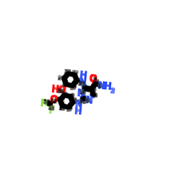 NC(=O)c1cnc(N[C@H]2CC[C@H](OC(F)F)CC2)nc1N[C@@H]1CCC[C@H](O)C1